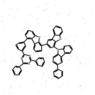 c1ccc(-c2ccc3c(c2)c2ccccc2n3-c2cc(-c3cccc4c3oc3cccc(-c5cccc(-c6nc(-c7ccccc7)nc(-c7ccccc7)n6)c5)c34)cc3c2oc2ccccc23)cc1